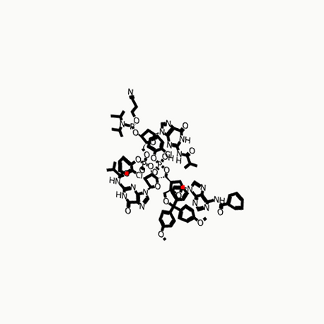 COc1ccc(C(OC[C@@H]2O[C@@H](n3cnc4c(NC(=O)c5ccccc5)ncnc43)C[C@@H]2C(OP(=O)(O)Oc2ccccc2Cl)[C@@H]2O[C@@H](n3cnc4c(=O)[nH]c(NC(=O)C(C)C)nc43)C[C@@H]2OP(=O)(OC[C@H]2O[C@@H](n3cnc4c(=O)[nH]c(NC(=O)C(C)C)nc43)C[C@@H]2OP(OCCC#N)N(C(C)C)C(C)C)Oc2ccccc2Cl)(c2ccccc2)c2ccc(OC)cc2)cc1